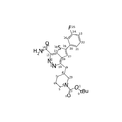 CC(C)(C)OC(=O)N1CCCC(Cc2nnc(C(N)=O)c3sc(-c4cccc(F)c4)cc23)C1